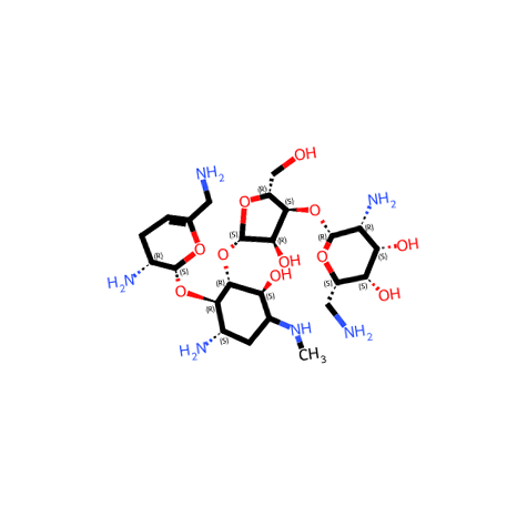 CNC1C[C@H](N)[C@@H](O[C@H]2OC(CN)=CC[C@H]2N)[C@H](O[C@@H]2O[C@H](CO)[C@@H](O[C@H]3O[C@@H](CN)[C@@H](O)[C@@H](O)[C@H]3N)[C@H]2O)[C@H]1O